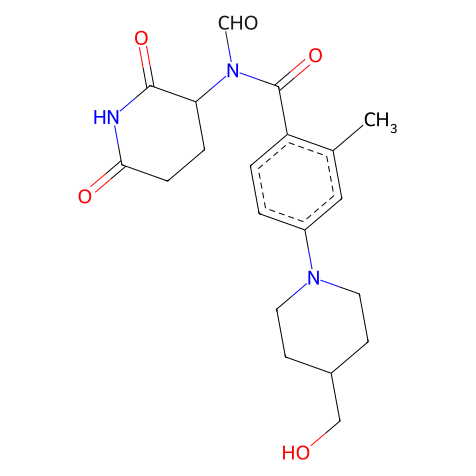 Cc1cc(N2CCC(CO)CC2)ccc1C(=O)N(C=O)C1CCC(=O)NC1=O